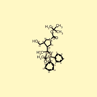 C[C@H](O[Si](c1ccccc1)(c1ccccc1)C(C)(C)C)C1CN(C(=O)OC(C)(C)C)CC1CO